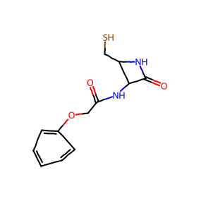 O=C(COc1ccccc1)NC1C(=O)NC1CS